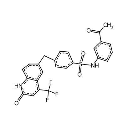 CC(=O)c1cccc(NS(=O)(=O)c2ccc(Cc3ccc4[nH]c(=O)cc(C(F)(F)F)c4c3)cc2)c1